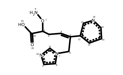 NOC(CC=C(Cn1ccnc1)c1cccnc1)C(=O)O